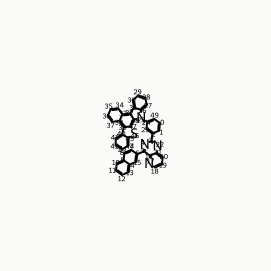 c1cc(-c2nc(-c3ccc4ccccc4c3)c3ncccc3n2)cc(-n2c3ccccc3c3c4ccccc4c4c5ccccc5sc4c32)c1